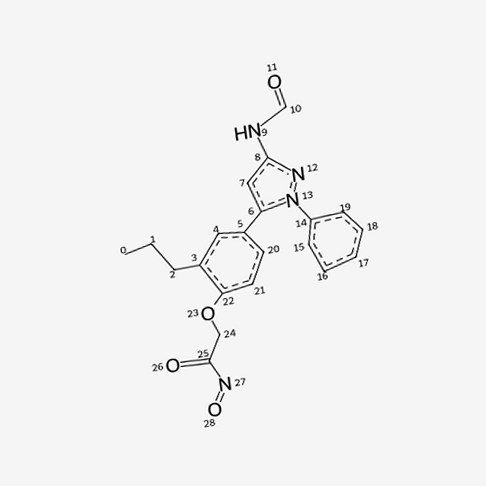 CCCc1cc(-c2cc(NC=O)nn2-c2ccccc2)ccc1OCC(=O)N=O